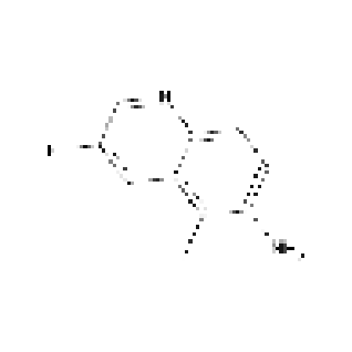 Cc1c(N)ccc2ncc(F)cc12